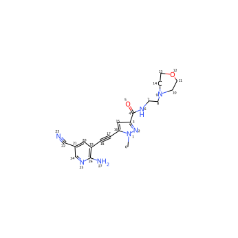 Cn1nc(C(=O)NCCN2CCOCC2)cc1C#Cc1cc(C#N)cnc1N